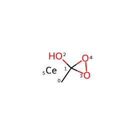 CC1(O)OO1.[Ce]